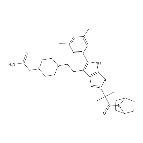 Cc1cc(C)cc(-c2[nH]c3sc(C(C)(C)C(=O)N4C5CCC4CC5)cc3c2CCN2CCN(CC(N)=O)CC2)c1